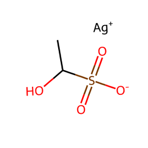 CC(O)S(=O)(=O)[O-].[Ag+]